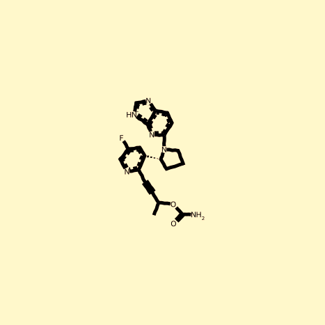 CC(C#Cc1ncc(F)cc1[C@H]1CCCN1c1ccc2nc[nH]c2n1)OC(N)=O